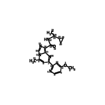 COc1ccnc(-c2cc(C)n3cnc(C(=O)N[C@@H](C)C4CC4)c3n2)c1